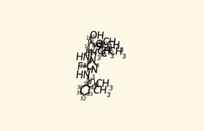 CC1(C)C[C@H](Nc2ncnc(N[C@@H]3C[C@@H](CO)[C@@H](O[Si](C)(C)C(C)(C)C)C3)c2F)c2ccccc21